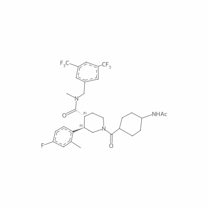 CC(=O)NC1CCC(C(=O)N2CC[C@@H](C(=O)N(C)Cc3cc(C(F)(F)F)cc(C(F)(F)F)c3)[C@H](c3ccc(F)cc3C)C2)CC1